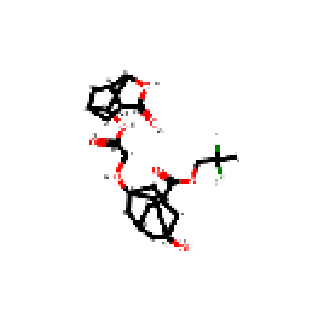 CC(F)(F)COC(=O)C12CC3CC(O)(CC(OCC(=O)OC4C5CC6C(=O)OC4C6C5)(C3)C1)C2